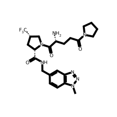 Cn1nnc2cc(CNC(=O)[C@@H]3C[C@H](C(F)(F)F)CN3C(=O)[C@H](N)CCC(=O)N3CCCC3)ccc21